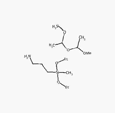 CCO[Si](C)(CCCN)OCC.COC(C)OC(C)O[SiH3]